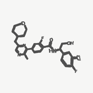 Cc1ncc(CC2CCOCC2)nc1-c1ccc(C(=O)NC(CO)c2ccc(F)c(Cl)c2)c(F)c1